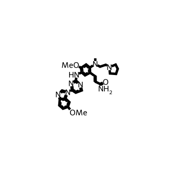 COc1ccc2ncn(-c3ccnc(Nc4cc(C=CC(N)=O)c(N(C)CCN5CCCC5)cc4OC)n3)c2c1